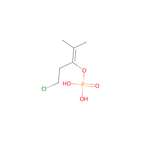 CC(C)=C(CCCl)OP(=O)(O)O